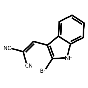 N#CC(C#N)=Cc1c(Br)[nH]c2ccccc12